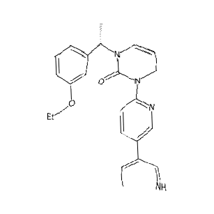 C/C=C(\C=N)c1ccc(N2CC=CN([C@@H](C)c3cccc(OCC)c3)C2=O)nc1